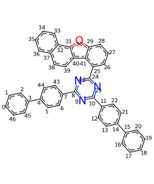 c1ccc(-c2ccc(-c3nc(-c4ccc(-c5ccccc5)cc4)nc(-c4cccc5oc6c7ccccc7ccc6c45)n3)cc2)cc1